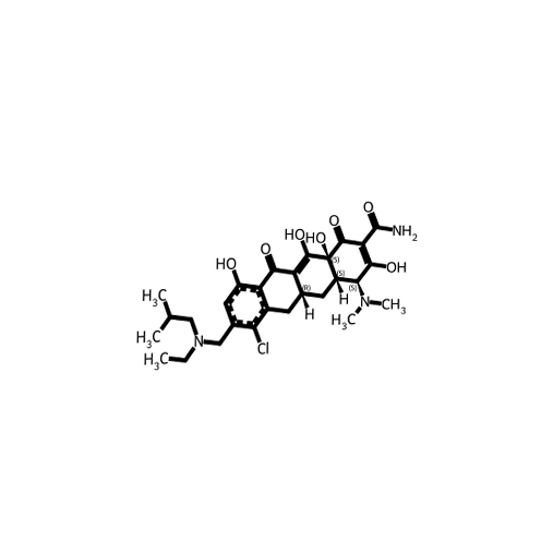 CCN(Cc1cc(O)c2c(c1Cl)C[C@H]1C[C@H]3[C@H](N(C)C)C(O)=C(C(N)=O)C(=O)[C@@]3(O)C(O)=C1C2=O)CC(C)C